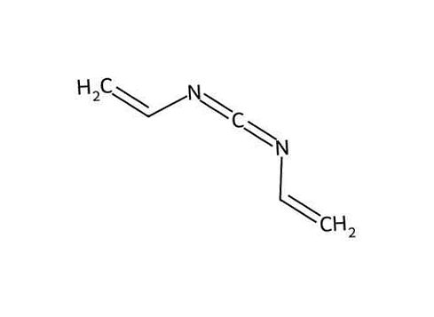 C=CN=C=NC=C